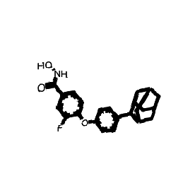 O=C(NO)c1ccc(Oc2ccc(C3C4CC5CC(C4)CC3C5)cc2)c(F)c1